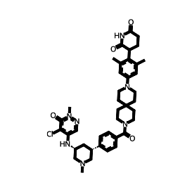 Cc1cc(N2CCC3(CCN(C(=O)c4ccc([C@H]5C[C@@H](Nc6cnn(C)c(=O)c6Cl)CN(C)C5)cc4)CC3)CC2)cc(C)c1C1CCC(=O)NC1=O